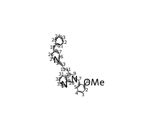 COc1ccccc1CN(CCCCCCN1CCC(Cc2ccccc2)CC1)Cc1ccccn1